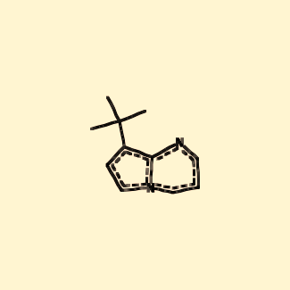 CC(C)(C)c1ccn2cccnc12